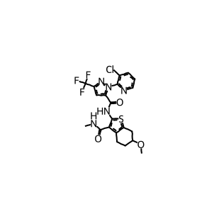 CNC(=O)c1c(NC(=O)c2cc(C(F)(F)F)nn2-c2ncccc2Cl)sc2c1CCC(OC)C2